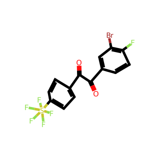 O=C(C(=O)c1ccc(F)c(Br)c1)c1ccc(S(F)(F)(F)(F)F)cc1